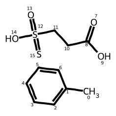 Cc1ccccc1.O=C(O)CCS(=O)(O)=S